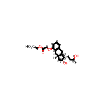 C[C@H](O)CC[C@@H]1[C@H]2Cc3cccc(OCC(=O)OCC(=O)O)c3C[C@H]2C[C@H]1O